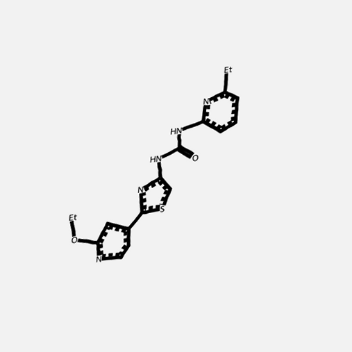 CCOc1cc(-c2nc(NC(=O)Nc3cccc(CC)n3)cs2)ccn1